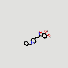 COc1ccc2c(CCC3CCN(CC4CCCC4)CC3)noc2c1OC